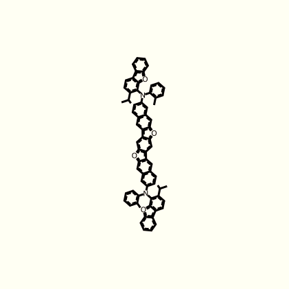 Cc1ccccc1N(c1ccc2cc3c(cc2c1)oc1cc2c(cc13)oc1cc3cc(N(c4ccccc4C)c4c(C(C)C)ccc5c4oc4ccccc45)ccc3cc12)c1c(C(C)C)ccc2c1oc1ccccc12